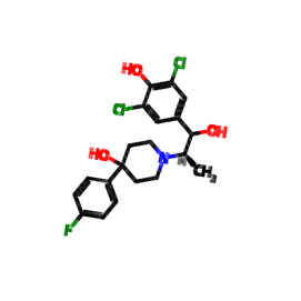 C[C@H](C(O)c1cc(Cl)c(O)c(Cl)c1)N1CCC(O)(c2ccc(F)cc2)CC1